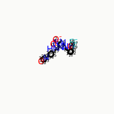 O=[N+]([O-])c1cnc(NCc2ccccc2OC(F)(F)F)nc1NC[C@H]1CC[C@H](N2CCOCC2)CC1